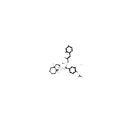 COc1cc(C(=O)N(CC(C)=Cc2ccc(F)cc2F)C[C@@H]2C[C@@H]3CCCC[C@@H]3N2)ccc1OC(F)F